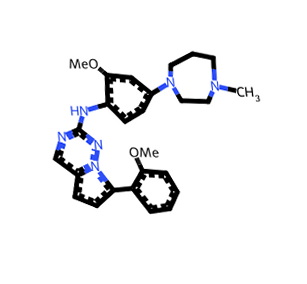 COc1cc(N2CCCN(C)CC2)ccc1Nc1ncc2ccc(-c3ccccc3OC)n2n1